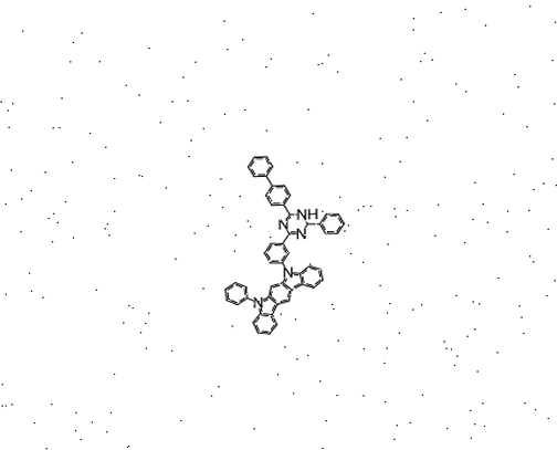 c1ccc(-c2ccc(C3=NC(c4cccc(-n5c6ccccc6c6cc7c8ccccc8n(-c8ccccc8)c7cc65)c4)=NC(c4ccccc4)N3)cc2)cc1